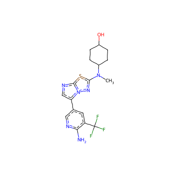 CN(c1nn2c(-c3cnc(N)c(C(F)(F)F)c3)cnc2s1)C1CCC(O)CC1